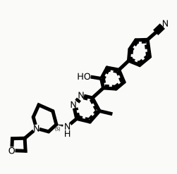 Cc1cc(N[C@H]2CCCN(C3COC3)C2)nnc1-c1ccc(-c2ccc(C#N)cc2)cc1O